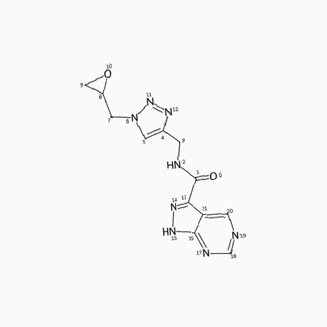 O=C(NCc1cn(CC2CO2)nn1)c1n[nH]c2ncncc12